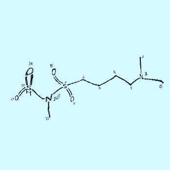 CN(C)CCCCS(=O)(=O)N(C)[SH](=O)=O